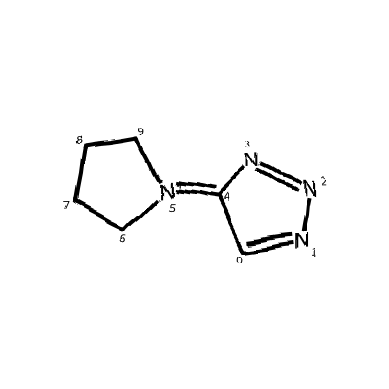 C1=NN=NC1=[N+]1CCCC1